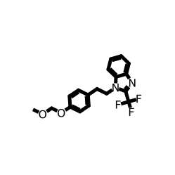 COCOc1ccc(CCn2c(C(F)(F)F)nc3ccccc32)cc1